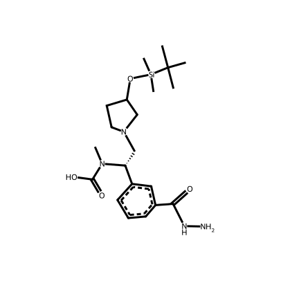 CN(C(=O)O)[C@H](CN1CCC(O[Si](C)(C)C(C)(C)C)C1)c1cccc(C(=O)NN)c1